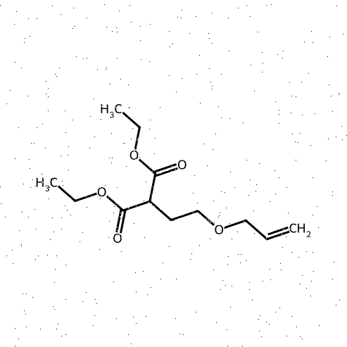 C=CCOCCC(C(=O)OCC)C(=O)OCC